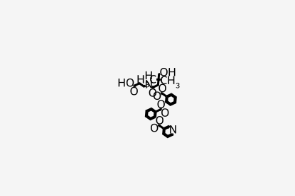 CC(C)(CO)[C@@H](OC(=O)c1ccccc1OC(=O)c1ccccc1OC(=O)c1cccnc1)C(=O)NCCC(=O)O